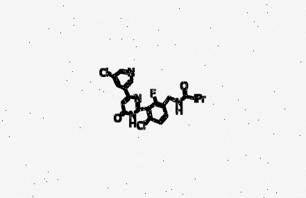 CC(C)C(=O)NCc1ccc(Cl)c(-c2nc(-c3cncc(Cl)c3)cc(=O)[nH]2)c1F